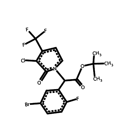 CC(C)(C)OC(=O)C(c1cc(Br)ccc1F)n1ccc(C(F)(F)F)c(Cl)c1=O